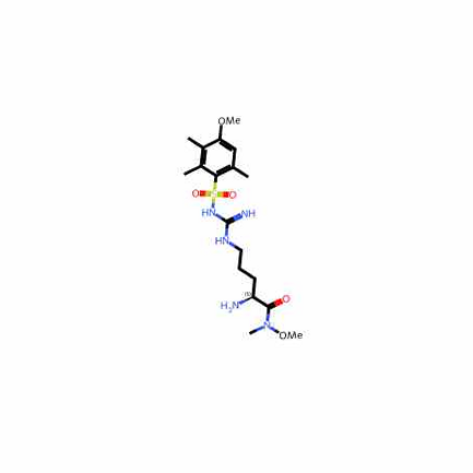 COc1cc(C)c(S(=O)(=O)NC(=N)NCCC[C@H](N)C(=O)N(C)OC)c(C)c1C